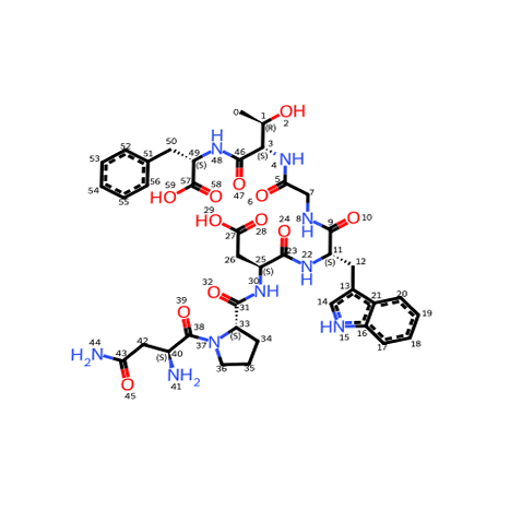 C[C@@H](O)[C@H](NC(=O)CNC(=O)[C@H](Cc1c[nH]c2ccccc12)NC(=O)[C@H](CC(=O)O)NC(=O)[C@@H]1CCCN1C(=O)[C@@H](N)CC(N)=O)C(=O)N[C@@H](Cc1ccccc1)C(=O)O